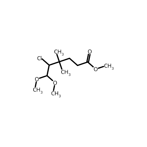 COC(=O)CCC(C)(C)C(Cl)C(OC)OC